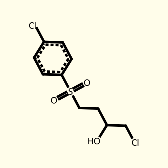 O=S(=O)(CCC(O)CCl)c1ccc(Cl)cc1